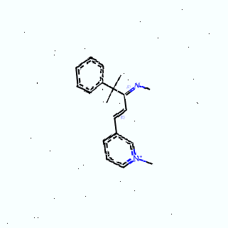 C/N=C(\C=C\c1ccc[n+](C)c1)C(C)(C)c1ccccc1